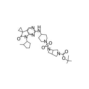 CC1CCCC1N1C(=O)C2(CC2)c2cnc(NC3CCN(S(=O)(=O)N4CC5CN(C(=O)OC(C)(C)C)CC54)CC3)nc21